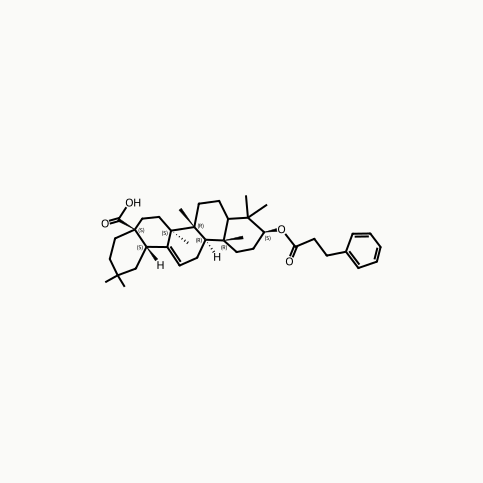 CC1(C)CC[C@]2(C(=O)O)CC[C@]3(C)C(=CC[C@@H]4[C@@]5(C)CC[C@H](OC(=O)CCc6ccccc6)C(C)(C)C5CC[C@]43C)[C@@H]2C1